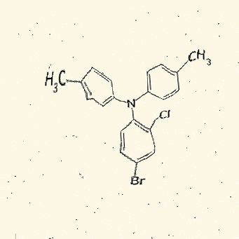 Cc1ccc(N(c2ccc(C)cc2)c2ccc(Br)cc2Cl)cc1